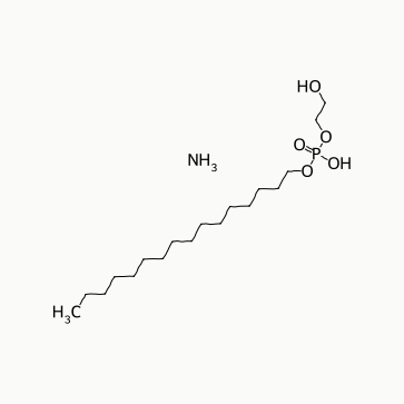 CCCCCCCCCCCCCCCCOP(=O)(O)OCCO.N